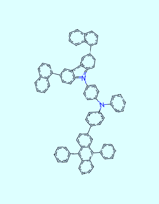 c1ccc(-c2c3ccccc3c(-c3ccccc3)c3cc(-c4ccc(N(c5ccccc5)c5ccc(-n6c7ccc(-c8cccc9ccccc89)cc7c7cc(-c8cccc9ccccc89)ccc76)cc5)cc4)ccc23)cc1